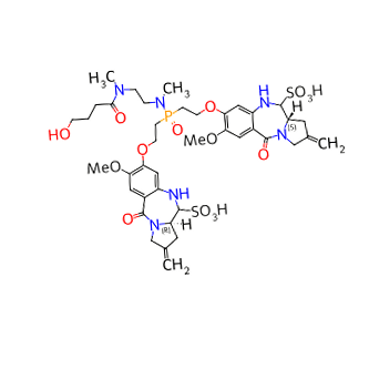 C=C1C[C@@H]2C(S(=O)(=O)O)Nc3cc(OCCP(=O)(CCOc4cc5c(cc4OC)C(=O)N4CC(=C)C[C@H]4C(S(=O)(=O)O)N5)N(C)CCN(C)C(=O)CCCO)c(OC)cc3C(=O)N2C1